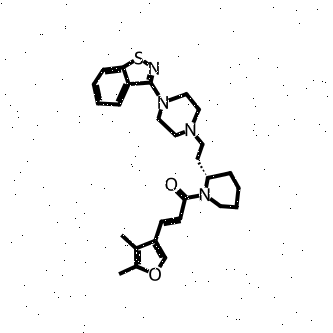 Cc1occ(/C=C/C(=O)N2CCCC[C@H]2CCN2CCN(c3nsc4ccccc34)CC2)c1C